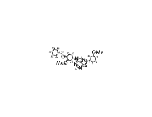 COc1cccc(-c2nc3c(Nc4ccc(OCc5ccccc5)c(OC)c4)ncnc3s2)c1